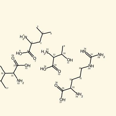 CC(C)CC(N)C(=O)O.CC(O)C(N)C(=O)O.CCC(C)C(N)C(=O)O.N=C(N)NCCCC(N)C(=O)O